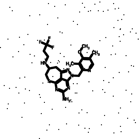 COc1c(C)cnc(Cn2nc3c4c(nc(N)nc42)SCC(NCCC(F)(F)F)C3)c1C